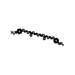 Nc1ccc(OCCOCC(=O)OCCOCCOC(=O)COCCOc2ccc(N)cc2)cc1